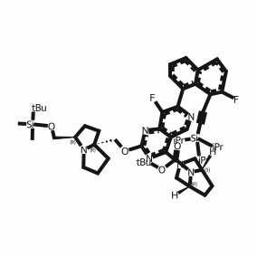 CC(C)[Si](C#Cc1c(F)ccc2cccc(-c3ncc4c(N5C[C@H]6CC[C@@H](C5)N6C(=O)OC(C)(C)C)nc(OC[C@]56CCCN5[C@@H](CO[Si](C)(C)C(C)(C)C)CC6)nc4c3F)c12)(C(C)C)C(C)C